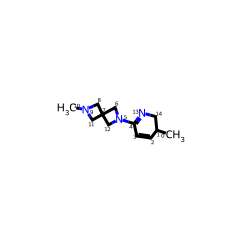 CC1C=CC(N2CC3(CN(C)C3)C2)=NC1